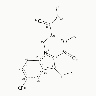 CCc1c(C(=O)OC)n(CCC(=O)OC)c2ccc(Cl)cc12